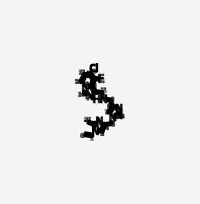 C=Cn1cc(Cn2cc(CNCc3ncn4ccc(Cl)c(F)c34)nn2)nc1C